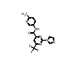 Cc1ccc(NC(=O)c2cc(C(F)(F)F)nc(-n3ccnc3)n2)cn1